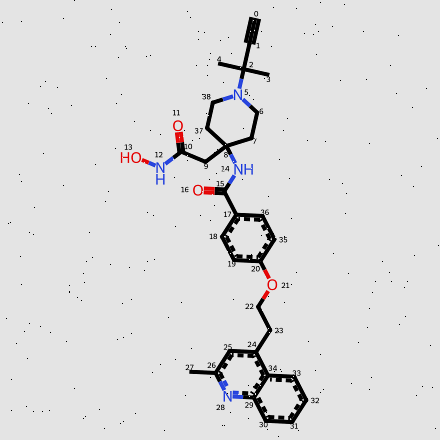 C#CC(C)(C)N1CCC(CC(=O)NO)(NC(=O)c2ccc(OCCc3cc(C)nc4ccccc34)cc2)CC1